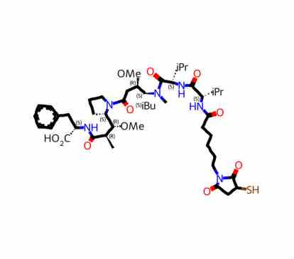 CC[C@H](C)[C@@H]([C@@H](CC(=O)N1CCC[C@H]1[C@H](OC)[C@@H](C)C(=O)N[C@@H](Cc1ccccc1)C(=O)O)OC)N(C)C(=O)[C@@H](NC(=O)[C@@H](NC(=O)CCCCCN1C(=O)CC(S)C1=O)C(C)C)C(C)C